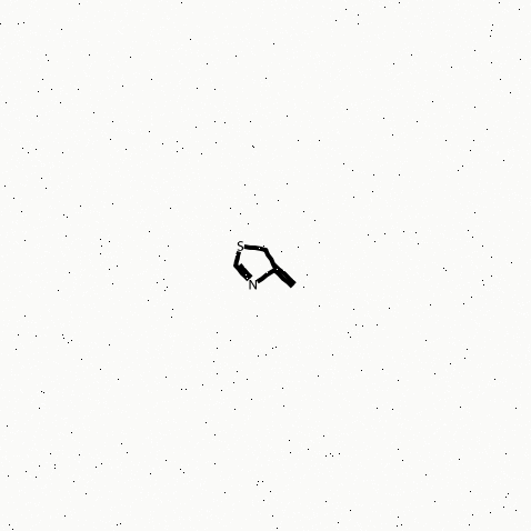 C=C1CSC=N1